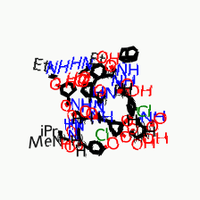 CCNCCOc1cc(OCCNCC)cc(C(=O)NC(=O)C[C@@H]2NC(=O)[C@H](NC(=O)[C@@H](CC(C)C)NC)[C@H](O)c3ccc(c(Cl)c3)Oc3cc4cc(c3O[C@@H]3O[C@@H]5CNC(=O)O[C@H]5[C@H](O)[C@H]3O)Oc3ccc(cc3Cl)[C@@H](O)[C@@H]3NC(=O)[C@H](NC(=O)[C@@H]4NC2=O)c2ccc(O)c(c2)-c2c(O)cc(O)cc2[C@@H](C(=O)NC2C4CC5CC(C4)CC2C5)NC3=O)c1